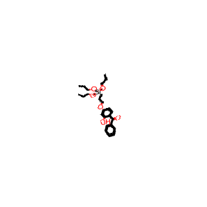 CCCO[Si](CCCOc1ccc(C(=O)c2ccccc2)c(O)c1)(OCCC)OCCC